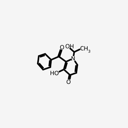 CC(O)n1ccc(=O)c(O)c1C(=O)c1ccccc1